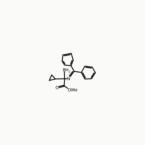 BC(N=C(c1ccccc1)c1ccccc1)(C(=O)OC)C1CC1